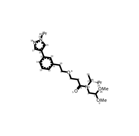 COC(CN(C(=O)CCOCCc1cccc(-c2cnn(C(C)C)c2)c1)[C@H](C)C(C)C)OC